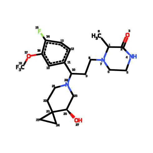 CC1C(=O)NCCN1CCC(c1ccc(F)c(OC(F)(F)F)c1)N1CCC2(CC2)[C@H](O)C1